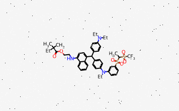 CCN(CC)c1ccc(C(c2ccc(N(CC)c3cccc(S(=O)(=O)C(C)S(=O)(=O)C(F)(F)F)c3)cc2)c2ccc(NCCOC(=O)C(C)(C)CC)c3ccccc23)cc1